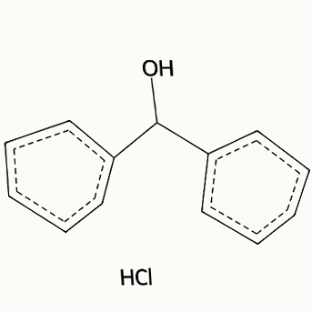 Cl.OC(c1ccccc1)c1ccccc1